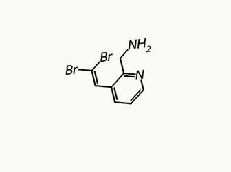 NCc1ncccc1C=C(Br)Br